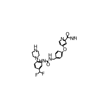 CNC(=O)c1cc(Oc2ccc(CNC(=O)Nc3cc(C(F)F)ccc3N3CCNCC3)cc2)ccn1